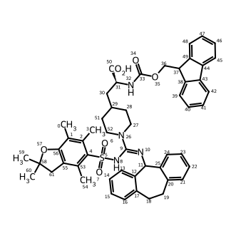 Cc1c(C)c(S(=O)(=O)N/C(=N\C2c3ccccc3CCc3ccccc32)N2CCC(C[C@H](NC(=O)OCC3c4ccccc4-c4ccccc43)C(=O)O)CC2)c(C)c2c1OC(C)(C)C2